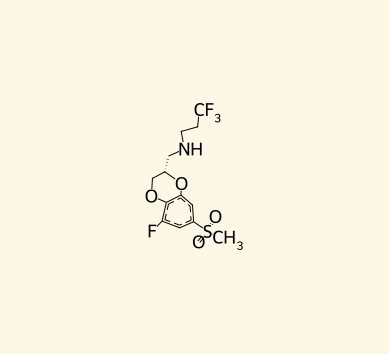 CS(=O)(=O)c1cc(F)c2c(c1)O[C@@H](CNCCC(F)(F)F)CO2